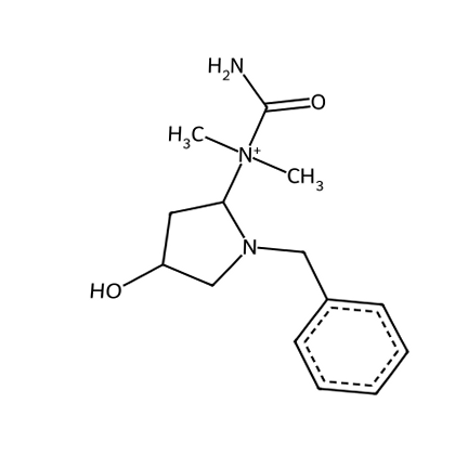 C[N+](C)(C(N)=O)C1CC(O)CN1Cc1ccccc1